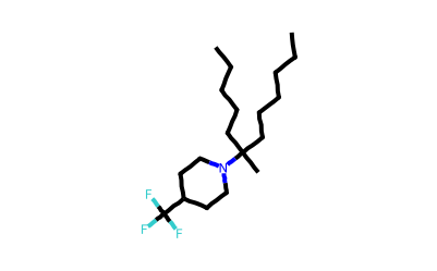 CCCCCCC(C)(CCCCC)N1CCC(C(F)(F)F)CC1